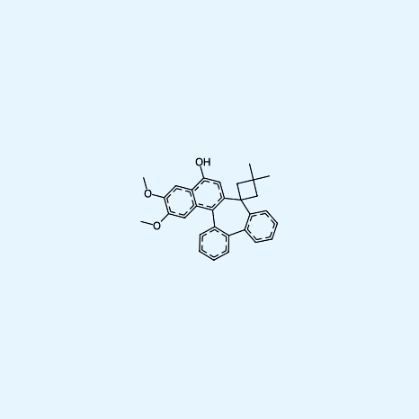 COc1cc2c(O)cc3c(c2cc1OC)-c1ccccc1-c1ccccc1C31CC(C)(C)C1